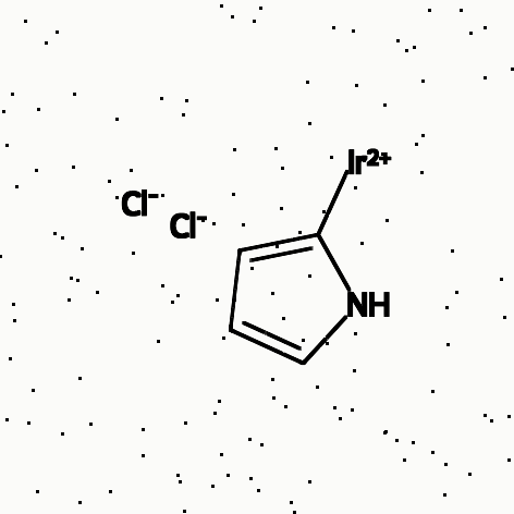 [Cl-].[Cl-].[Ir+2][c]1ccc[nH]1